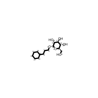 OC[C@H]1O[C@H](OCCCC2CCCCC2)[C@H](O)[C@@H](O)[C@@H]1O